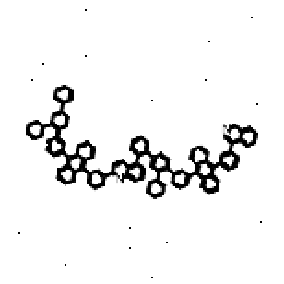 c1ccc(-c2ccc(-c3cccc(-c4c5ccccc5c(-c5cccc(-c6ccc7c(-c8ccccc8-c8ccc(-c9cccc(-c%10c%11ccccc%11c(-c%11cccc(-c%12cncc%13ccccc%12%13)c%11)c%11ccccc%10%11)c9)c(-c9ccccc9)c8)cccc7n6)c5)c5ccccc45)c3)c(-c3ccccc3)c2)cc1